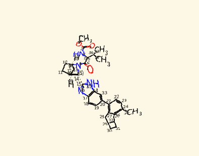 COC(=O)N[C@H](C(=O)N1[C@@H]2CC[C@@H](C2)[C@H]1c1nc2ccc(-c3ccc(C)c4c3CC3CCC43)cc2[nH]1)C(C)C